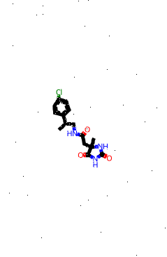 CC(CNC(=O)CC1(C)NC(=O)NC1=O)c1ccc(Cl)cc1